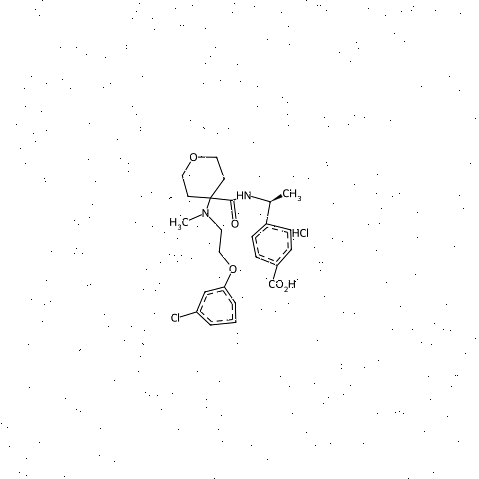 C[C@H](NC(=O)C1(N(C)CCOc2cccc(Cl)c2)CCOCC1)c1ccc(C(=O)O)cc1.Cl